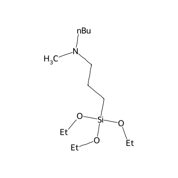 CCCCN(C)CCC[Si](OCC)(OCC)OCC